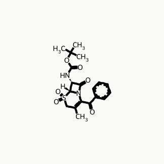 CC1=C(C(=O)c2ccccc2)N2C(=O)[C@@H](NC(=O)OC(C)(C)C)[C@H]2S(=O)(=O)C1